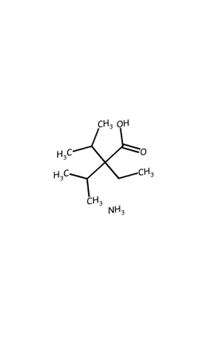 CCC(C(=O)O)(C(C)C)C(C)C.N